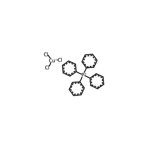 [Cl][Cu-]([Cl])[Cl].c1ccc([P+](c2ccccc2)(c2ccccc2)c2ccccc2)cc1